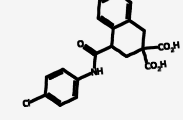 O=C(Nc1ccc(Cl)cc1)C1CC(C(=O)O)(C(=O)O)Cc2ccccc21